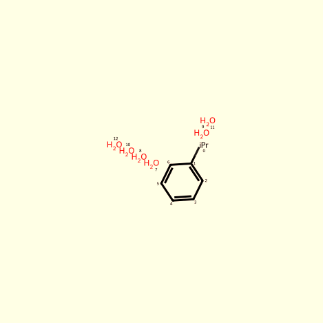 CC(C)c1ccccc1.O.O.O.O.O.O